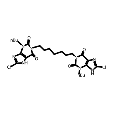 CCCCn1c(=O)n(CCCCCCCn2c(=O)c3nc(Cl)[nH]c3n(CCCC)c2=O)c(=O)c2[nH]c(Cl)nc21